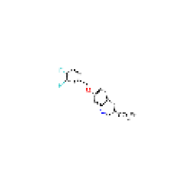 CCOC(=O)c1cnc2cc(OCc3ccc(F)c(F)c3)ccc2c1